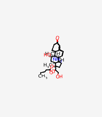 CCCCC(=O)O[C@]1(C(=O)CO)CC[C@H]2[C@@H]3CCC4=CC(=O)CC[C@]4(C)[C@@]3(N)[C@@H](O)C[C@@]21C